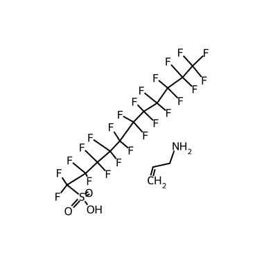 C=CCN.O=S(=O)(O)C(F)(F)C(F)(F)C(F)(F)C(F)(F)C(F)(F)C(F)(F)C(F)(F)C(F)(F)C(F)(F)C(F)(F)C(F)(F)F